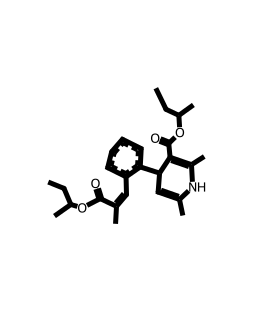 CCC(C)OC(=O)C(C)=Cc1ccccc1C1C=C(C)NC(C)=C1C(=O)OC(C)CC